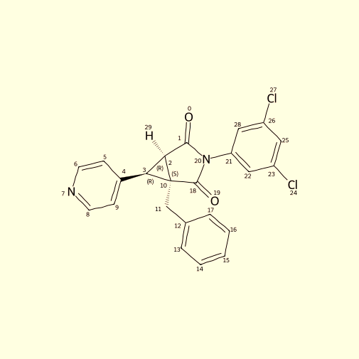 O=C1[C@@H]2[C@H](c3ccncc3)[C@]2(Cc2ccccc2)C(=O)N1c1cc(Cl)cc(Cl)c1